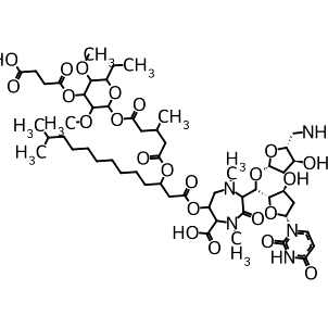 CCC1OC(OC(=O)CC(C)CC(=O)OC(CCCCCCCCC(C)C)CC(=O)OC2CN(C)C(C(O[C@H]3C[C@H](O)[C@@H](CN)O3)[C@H]3O[C@@H](n4ccc(=O)[nH]c4=O)C[C@@H]3O)C(=O)N(C)C2C(=O)O)C(OC)C(OC(=O)CCC(=O)O)C1OC